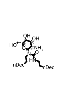 CCCCCCCCCCCCNC(=O)N(CCCCCCCCCCCC)[C@@H]1O[C@H](CO)[C@@H](O)[C@H](O)[C@@H]1N